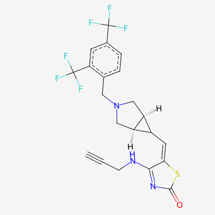 C#CCNC1=NC(=O)SC1=CC1[C@H]2CN(Cc3ccc(C(F)(F)F)cc3C(F)(F)F)C[C@@H]12